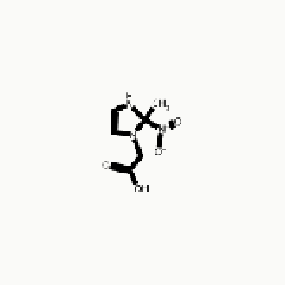 CC1([N+](=O)[O-])NC=CN1CC(=O)O